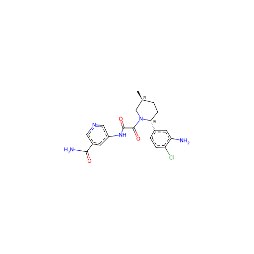 C[C@H]1CC[C@H](c2ccc(Cl)c(N)c2)N(C(=O)C(=O)Nc2cncc(C(N)=O)c2)C1